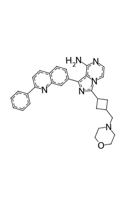 Nc1nccn2c(C3CC(CN4CCOCC4)C3)nc(-c3ccc4ccc(-c5ccccc5)nc4c3)c12